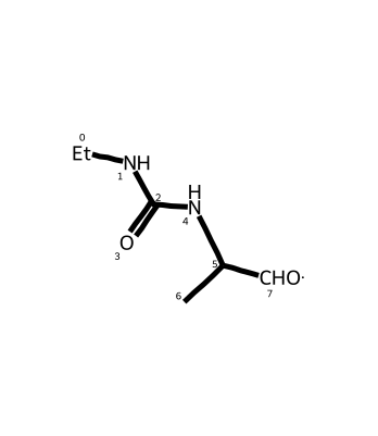 CCNC(=O)NC(C)[C]=O